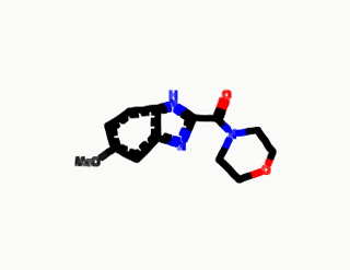 COc1ccc2[nH]c(C(=O)N3CCOCC3)nc2c1